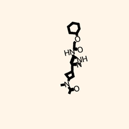 CC(=O)N(C)C1CC(c2cc(NC(=O)COC3CCCCC3)[nH]n2)C1